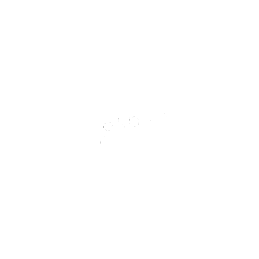 CC(C)Sc1ccc(C(=O)Nc2ccc(SNC3CCNCC3)cc2)cc1NC=O